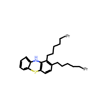 CC(C)CCCCCc1ccc2c(c1CCCCCC(C)C)Nc1ccccc1S2